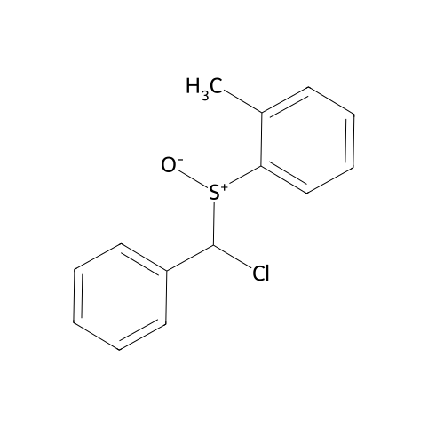 Cc1ccccc1[S+]([O-])C(Cl)c1ccccc1